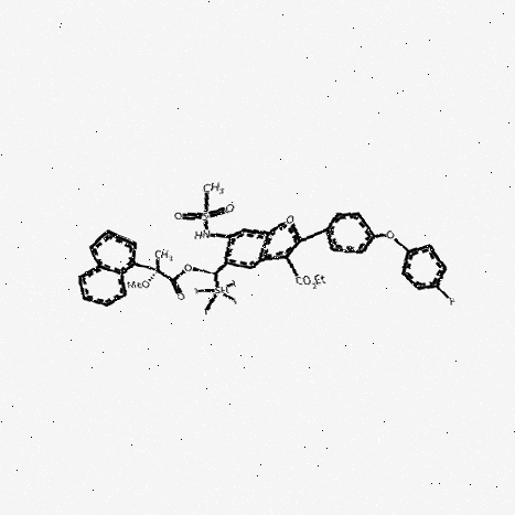 CCOC(=O)c1c(-c2ccc(Oc3ccc(F)cc3)cc2)oc2cc(NS(C)(=O)=O)c([C@H](OC(=O)[C@@](C)(OC)c3cccc4ccccc34)[SH](I)(I)(I)I)cc12